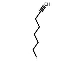 C#CCCCCCI